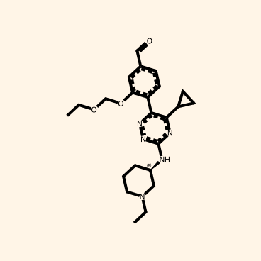 CCOCOc1cc(C=O)ccc1-c1nnc(N[C@@H]2CCCN(CC)C2)nc1C1CC1